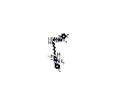 N=C(NCCCCCCNC(=N)NN/C(N)=N/c1ccc(Cl)cc1)NN/C(N)=N/c1ccc(Cl)cc1